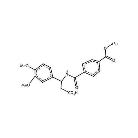 COc1ccc(C(CC(=O)O)NC(=O)c2ccc(C(=O)OC(C)(C)C)cc2)cc1OC